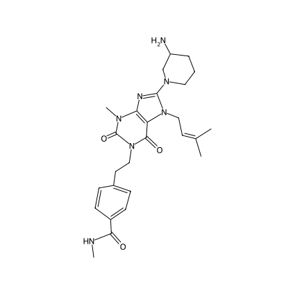 CNC(=O)c1ccc(CCn2c(=O)c3c(nc(N4CCCC(N)C4)n3CC=C(C)C)n(C)c2=O)cc1